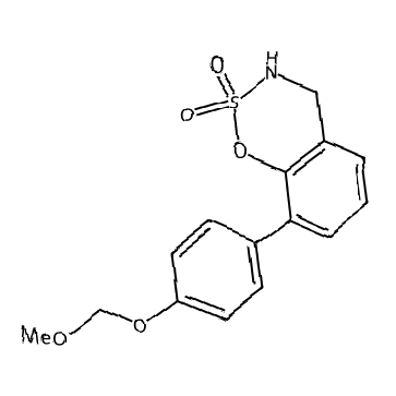 COCOc1ccc(-c2cccc3c2OS(=O)(=O)NC3)cc1